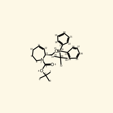 CC(C)(C)OC(=O)N1CCCC=C[C@H]1CO[Si](c1ccccc1)(c1ccccc1)C(C)(C)C